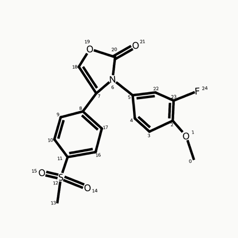 COc1ccc(-n2c(-c3ccc(S(C)(=O)=O)cc3)coc2=O)cc1F